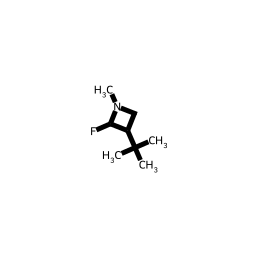 CN1CC(C(C)(C)C)C1F